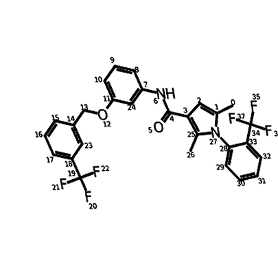 Cc1cc(C(=O)Nc2cccc(OCc3cccc(C(F)(F)F)c3)c2)c(C)n1-c1ccccc1C(F)(F)F